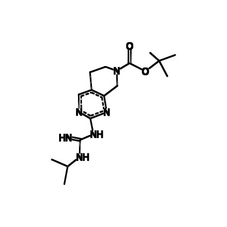 CC(C)NC(=N)Nc1ncc2c(n1)CN(C(=O)OC(C)(C)C)CC2